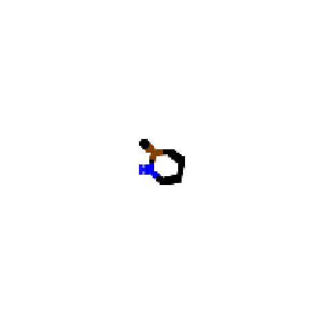 C=S1C=CC=CN1